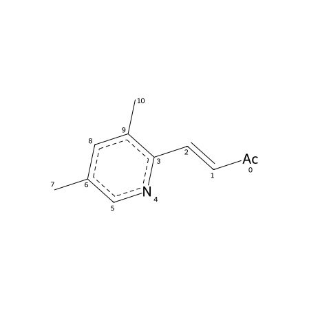 CC(=O)/C=C/c1ncc(C)cc1C